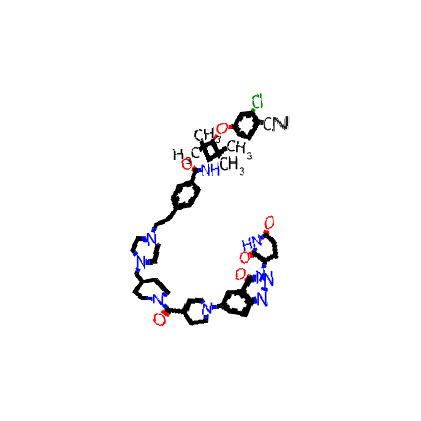 CC1(C)[C@H](NC(=O)c2ccc(CCN3CCN(CC4CCN(C(=O)C5CCN(c6ccc7nnn(C8CCC(=O)NC8=O)c(=O)c7c6)CC5)CC4)CC3)cc2)C(C)(C)[C@H]1Oc1ccc(C#N)c(Cl)c1